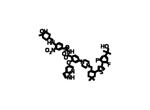 CC1(C)CCC(CN2CCN(c3ccc(C(=O)NS(=O)(=O)c4ccc(NCC5CCC(C)(O)CC5)c([N+](=O)[O-])c4)c(Oc4cnc5[nH]ccc5c4)c3)CC2)=C(c2cc(-c3c(F)cc(C(C)(C)CO)cc3F)cs2)C1